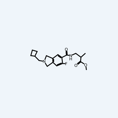 COC(=O)C(C)CNC(=O)c1cc2c(cc1F)CN(CC1CCC1)C2